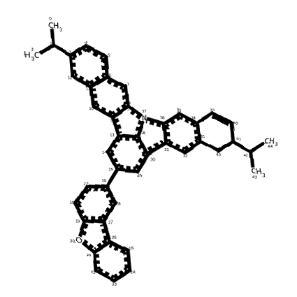 CC(C)c1ccc2cc3c(cc2c1)c1cc(-c2ccc4oc5ccccc5c4c2)cc2c4cc5c(cc4n3c21)C=CC(C(C)C)C5